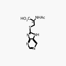 CC(=O)N[C@@H](CSc1nc2ncncc2[nH]1)C(=O)O